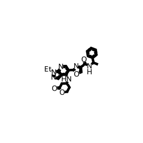 CCn1ncc2c(NC3CCOC(=O)C3)c(-c3nc(C(=O)NC(C)c4ccccc4)co3)cnc21